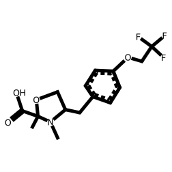 CN1C(Cc2ccc(OCC(F)(F)F)cc2)COC1(C)C(=O)O